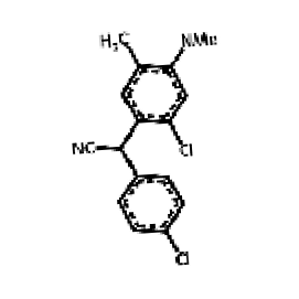 CNc1cc(Cl)c(C(C#N)c2ccc(Cl)cc2)cc1C